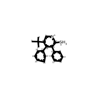 CC(C)(C)c1cnc([SiH3])c(-c2ccccc2)c1-c1ccccc1